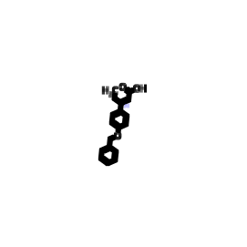 CC/C(=C\C(=O)O)c1ccc(OCc2ccccc2)cc1